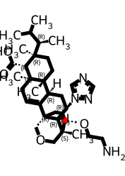 CC(C)[C@@H](C)[C@@]1(C)CC[C@]2(C)[C@H]3CC[C@@H]4[C@@]5(COC[C@@]4(C)[C@@H](OCCN)[C@H](n4cncn4)C5)C3=CC[C@@]2(C)[C@@H]1C(=O)O